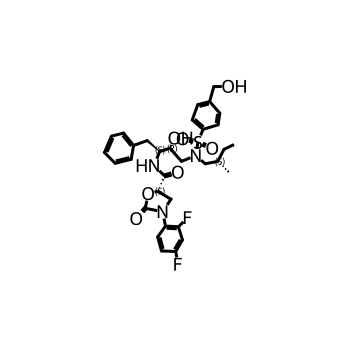 CC[C@H](C)CN(C[C@@H](O)[C@H](Cc1ccccc1)NC(=O)[C@@H]1CN(c2ccc(F)cc2F)C(=O)O1)S(=O)(=O)c1ccc(CO)cc1